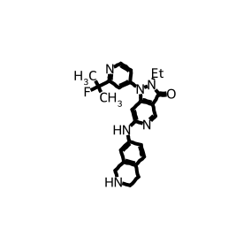 CCn1c(=O)c2cnc(Nc3ccc4c(c3)CNCC4)cc2n1-c1ccnc(C(C)(C)F)c1